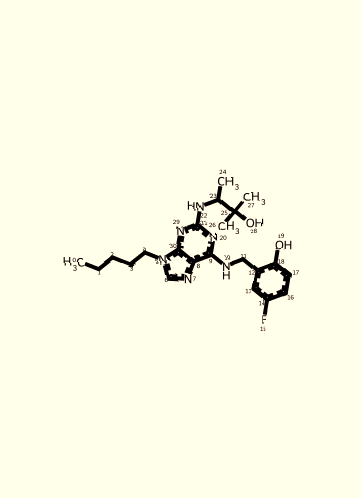 CCCCCn1cnc2c(NCc3cc(F)ccc3O)nc(NC(C)C(C)(C)O)nc21